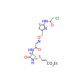 CCOC(=O)C=CS[C@@H]1NC(=O)[C@H]1NC(=O)C=NOCc1csc(NC(=O)CCl)n1